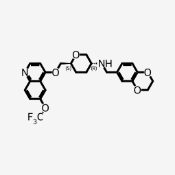 FC(F)(F)Oc1ccc2nccc(OC[C@@H]3CC[C@@H](NCc4ccc5c(c4)OCCO5)CO3)c2c1